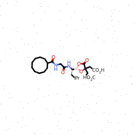 CC(C)C[C@H](NC(=O)CNC(=O)C1CCCCCCCCC1)B1OC(=O)C(CC(=O)O)(CC(=O)O)O1